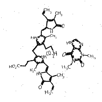 C=CC1=C(C)/C(=C/c2[nH]c(Cc3[nH]c(/C=C4\NC(=O)C(C)=C4C=C)c(C)c3CCC(=O)O)c(CCC(=O)O)c2C)NC1=O.Cn1c(=O)c2[nH]cnc2n(C)c1=O